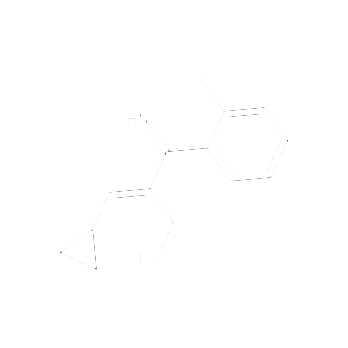 Cc1ccccc1C(=N)/C(=C/C1CC1)CO